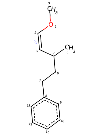 CO/C=C\C(C)CCc1ccccc1